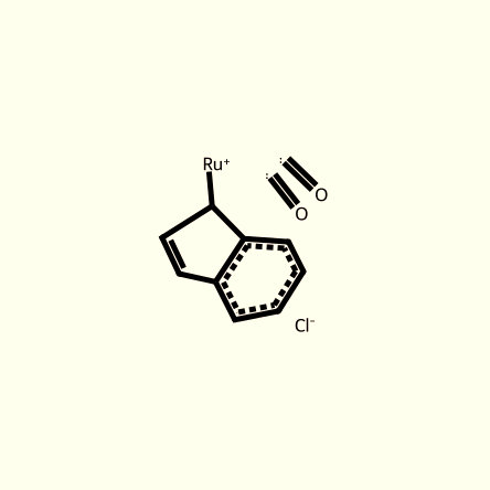 [C]=O.[C]=O.[Cl-].[Ru+][CH]1C=Cc2ccccc21